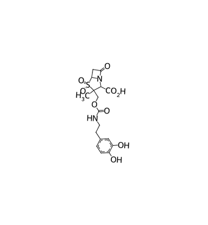 CC1(COC(=O)NCCc2ccc(O)c(O)c2)C(C(=O)O)N2C(=O)CC2S1(=O)=O